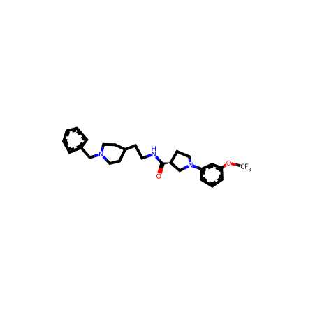 O=C(NCCC1CCN(Cc2ccccc2)CC1)[C@H]1CCN(c2cccc(OC(F)(F)F)c2)C1